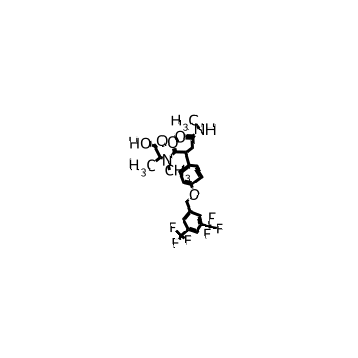 CNC(=O)CC(C(=O)N(C)C(C)C(=O)O)c1ccc(OCc2cc(C(F)(F)F)cc(C(F)(F)F)c2)cc1